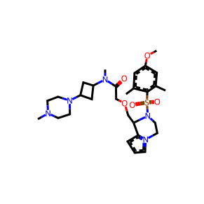 COc1cc(C)c(S(=O)(=O)N2CCn3cccc3C2COCC(=O)N(C)C2CC(N3CCN(C)CC3)C2)c(C)c1